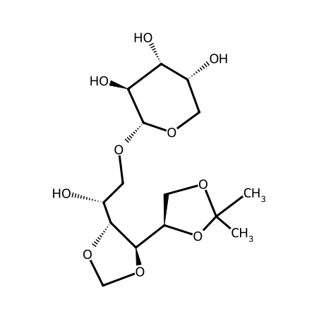 CC1(C)OC[C@H]([C@H]2OCO[C@@H]2[C@H](O)CO[C@H]2OC[C@@H](O)[C@@H](O)[C@@H]2O)O1